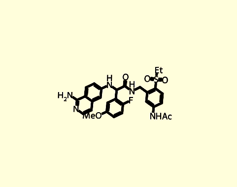 CCS(=O)(=O)c1ccc(NC(C)=O)cc1CNC(=O)C(Nc1ccc2c(N)nccc2c1)c1cc(OC)ccc1F